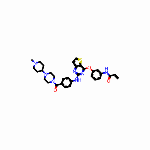 C=CC(=O)Nc1cccc(Oc2nc(Nc3ccc(C(=O)N4CCN(C5CCN(C)CC5)CC4)cc3)nc3ccsc23)c1